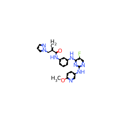 C=C(Cn1cccn1)C(=O)Nc1cccc(Nc2nc(Nc3ccc(OC)nc3)ncc2F)c1